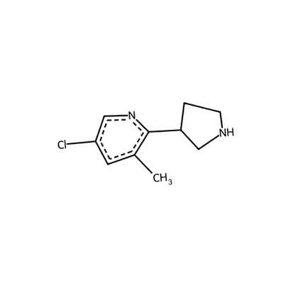 Cc1cc(Cl)cnc1C1CCNC1